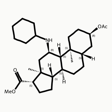 COC(=O)[C@H]1CC[C@H]2[C@@H]3CC[C@H]4C[C@H](OC(C)=O)CC[C@]4(C)[C@H]3[C@H](NC3CCCCC3)C[C@]12C